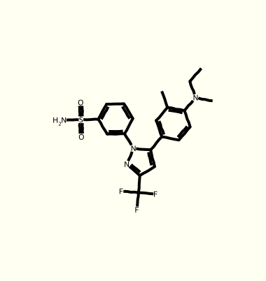 CCN(C)c1ccc(-c2cc(C(F)(F)F)nn2-c2cccc(S(N)(=O)=O)c2)cc1C